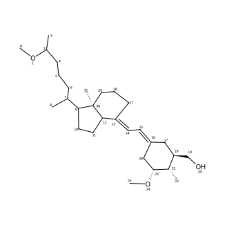 COC(C)CCCC(C)C1CCC2/C(=C/C=C3/C[C@@H](CO)[C@H](C)[C@H](OC)C3)CCC[C@@]21C